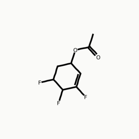 CC(=O)OC1C=C(F)C(F)C(F)C1